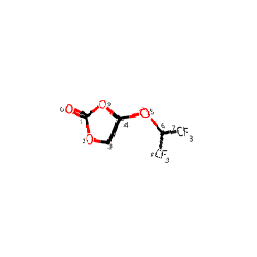 O=C1OCC(OC(C(F)(F)F)C(F)(F)F)O1